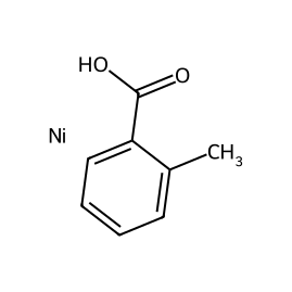 Cc1ccccc1C(=O)O.[Ni]